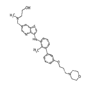 Cc1c(Nc2csc3cc(CN(C)CCO)cnc23)cccc1-c1cccc(OCCCN2CCOCC2)c1